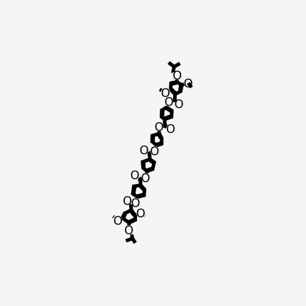 COc1cc(C(=O)Oc2ccc(C(=O)Oc3ccc(OC(=O)c4ccc(OC(=O)c5ccc(OC(=O)c6cc(OC)c(OCC(C)C)cc6OC)cc5)cc4)cc3)cc2)c(OC)cc1OCC(C)C